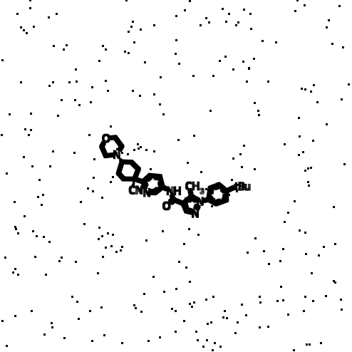 Cc1c(C(=O)Nc2ccc([C@]3(C#N)CC[C@@H](N4CCOCC4)CC3)nc2)cnn1-c1ccc(C(C)(C)C)cc1